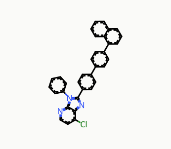 Clc1ccnc2c1nc(-c1ccc(-c3ccc(-c4cccc5ccccc45)cc3)cc1)n2-c1ccccc1